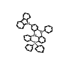 c1ccc(B2c3ccc(-n4c5ccccc5c5ccccc54)cc3N3c4ccccc4S(c4ccccc4)(c4ccccc4)c4cccc2c43)cc1